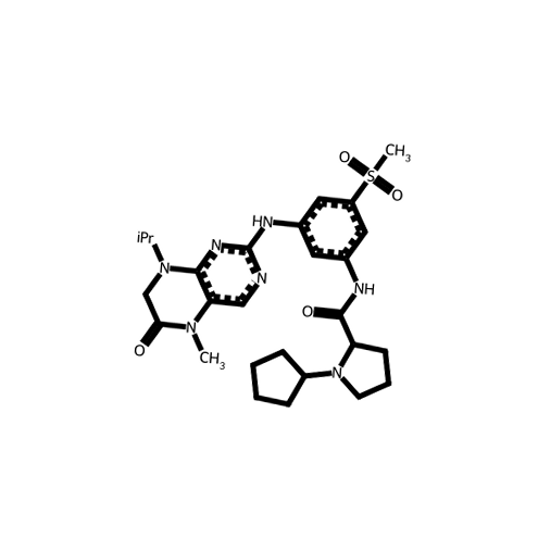 CC(C)N1CC(=O)N(C)c2cnc(Nc3cc(NC(=O)C4CCCN4C4CCCC4)cc(S(C)(=O)=O)c3)nc21